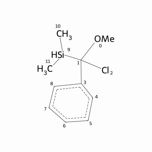 COC(Cl)(c1ccccc1)[SiH](C)C